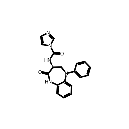 O=C1Nc2ccccc2N(c2ccccc2)C[C@@H]1NC(=O)n1ccnc1